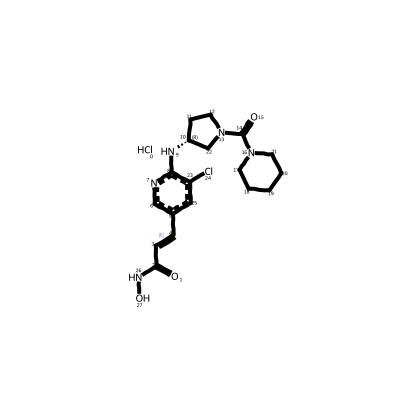 Cl.O=C(/C=C/c1cnc(N[C@@H]2CCN(C(=O)N3CCCCC3)C2)c(Cl)c1)NO